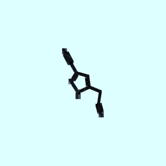 N#CCc1cc(C#N)n[nH]1